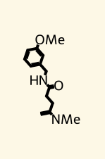 C=C(CCC(=O)NCc1cccc(OC)c1)NC